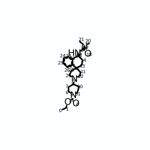 CCOC(=O)N1CCC(N2CCC3(CC[C@H](NC(=O)N(C)C)c4ccccc43)CC2)CC1